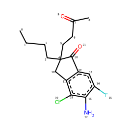 CCCCC1(CCC(C)=O)Cc2c(cc(F)c(N)c2Cl)C1=O